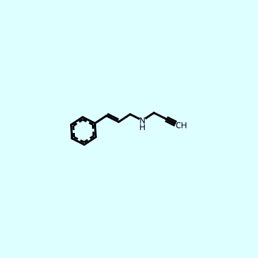 C#CCNCC=Cc1ccccc1